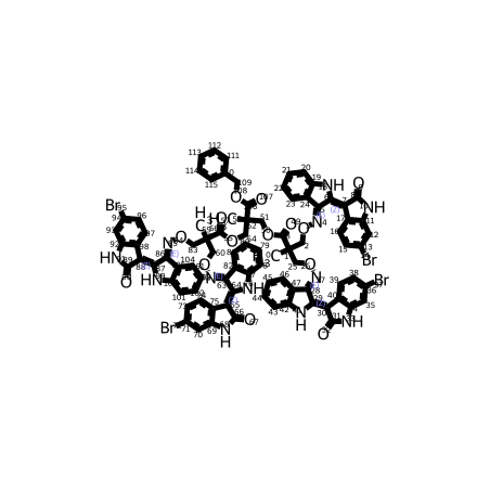 CC(CO/N=C1/C(=C2/C(=O)Nc3cc(Br)ccc32)Nc2ccccc21)(CO/N=C1/C(=C2/C(=O)Nc3cc(Br)ccc32)Nc2ccccc21)C(=O)OCC(C)(COC(=O)C(C)(CO/N=C1/C(=C2/C(=O)Nc3cc(Br)ccc32)Nc2ccccc21)CO/N=C1/C(=C2/C(=O)Nc3cc(Br)ccc32)Nc2ccccc21)C(=O)OCc1ccccc1